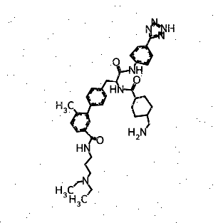 CCN(CC)CCCNC(=O)c1ccc(C)c(-c2ccc(C[C@H](NC(=O)C3CCC(CN)CC3)C(=O)Nc3ccc(-c4nn[nH]n4)cc3)cc2)c1